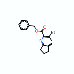 C=C1CCC/C1=N/C(C(=O)OCc1ccccc1)=C(\C)CC